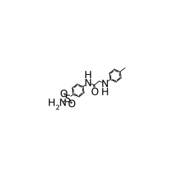 Cc1ccc(NCC(=O)Nc2ccc(S(N)(=O)=O)cc2)cc1